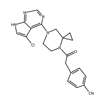 N#Cc1ccc(CC(=O)N2CCN(c3ncnc4[nH]cc(Cl)c34)CC23CC3)cc1